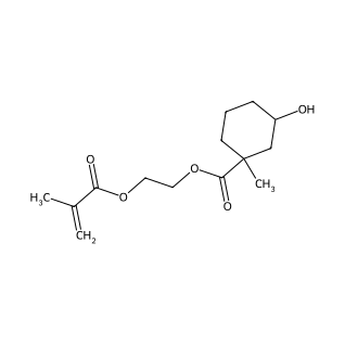 C=C(C)C(=O)OCCOC(=O)C1(C)CCCC(O)C1